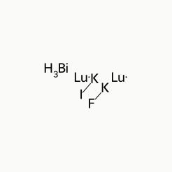 [BiH3].[F][K].[K][I].[Lu].[Lu]